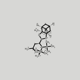 CC(C)C[C@@H](B1O[C@@H]2C[C@@H]3C[C@@H](C3(C)C)[C@]2(C)O1)N(S(C)(C)C)S(C)(C)C